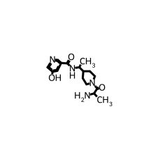 CC(N)C(=O)N1CCC(C(C)NC(=O)c2cncc(O)c2)CC1